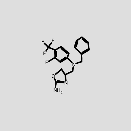 NC1=NC(CN(Cc2ccccc2)c2ccc(C(F)(F)F)c(F)c2)CO1